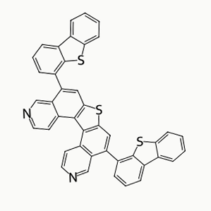 c1ccc2c(c1)sc1c(-c3cc4sc5cc(-c6cccc7c6sc6ccccc67)c6cnccc6c5c4c4ccncc34)cccc12